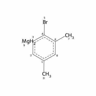 Cc1ccc(Br)c(C)c1.[MgH2]